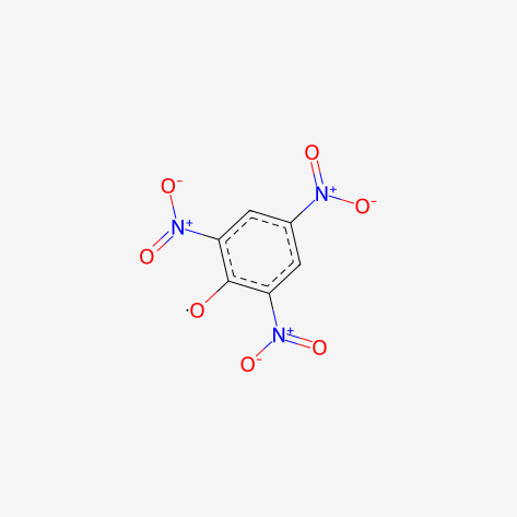 [O]c1c([N+](=O)[O-])cc([N+](=O)[O-])cc1[N+](=O)[O-]